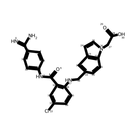 N=C(N)c1ccc(NC(=O)c2cc(Cl)ccc2NCc2ccc3c(ccn3CC(=O)O)c2)cc1